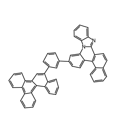 c1cc(-c2ccc3c4c5ccccc5ccc4c4nc5ccccc5n4c3c2)cc(-c2cc3c4ccccc4c4ccccc4c3c3ccccc23)c1